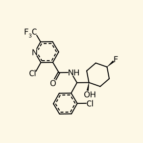 O=C(NC(c1ccccc1Cl)[C@]1(O)CC[C@@H](F)CC1)c1ccc(C(F)(F)F)nc1Cl